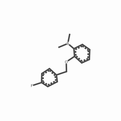 CB(C)c1ccccc1OCc1ccc(F)cc1